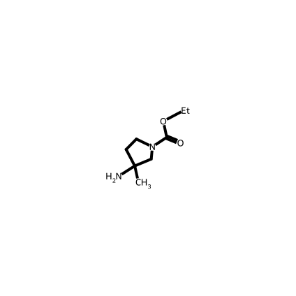 CCOC(=O)N1CCC(C)(N)C1